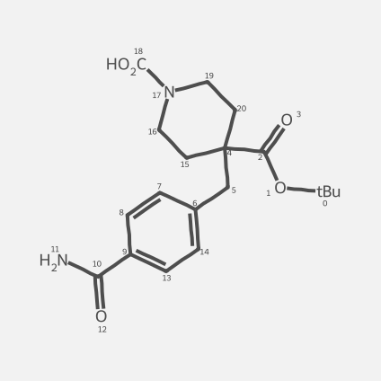 CC(C)(C)OC(=O)C1(Cc2ccc(C(N)=O)cc2)CCN(C(=O)O)CC1